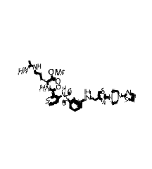 COC(=O)[C@H](CCCNC(C)=N)NC(=O)c1sccc1NS(=O)(=O)c1cccc(NCc2csc(N3CCN(c4nccs4)CC3)n2)c1